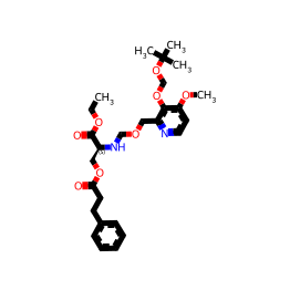 CCOC(=O)[C@H](COC(=O)CCc1ccccc1)NCOCc1nccc(OC)c1OCOC(C)(C)C